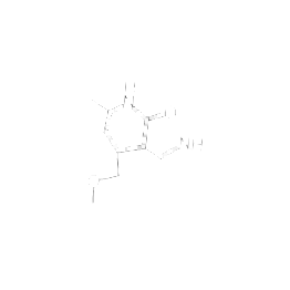 COCc1cc(C)[nH]c(=O)c1C=N